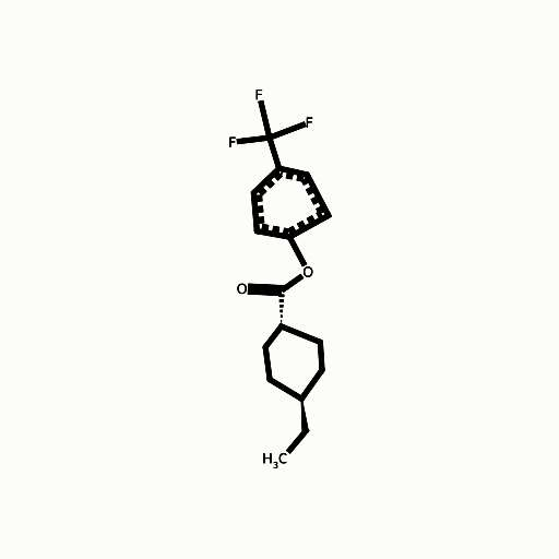 CC[C@H]1CC[C@H](C(=O)Oc2ccc(C(F)(F)F)cc2)CC1